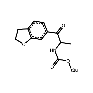 CC(NC(=O)OC(C)(C)C)C(=O)c1ccc2c(c1)OCC2